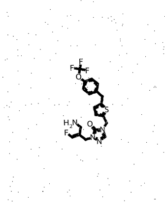 NC/C(=C\F)Cn1ncn(Cc2ccc(Cc3ccc(OC(F)(F)F)cc3)s2)c1=O